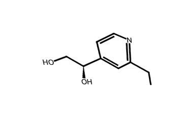 CCc1cc([C@@H](O)CO)ccn1